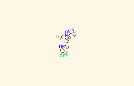 C[C@H](NC(=O)c1ncnc2scnc12)c1ncc(C(=O)Nc2ccc(Cl)c(C(F)(F)F)c2)s1